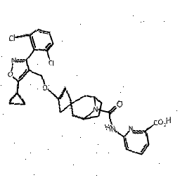 O=C(O)c1cccc(NC(=O)N2C3CCC2CC2(CC(OCc4c(-c5c(Cl)cccc5Cl)noc4C4CC4)C2)C3)n1